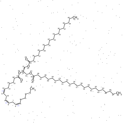 CCCCC/C=C\C/C=C\C/C=C\CCCCC(=O)O[C@@H](COC(=O)CCCCCCCCCCCCCCCCC)COC(=O)CCCCCCCCCCCCCCCCCCCCCCC